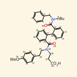 CCCCN(Cc1ccccc1)C(=O)c1ccccc1-c1ccccc1C(=O)N(CCC(=O)O)CCc1ccc(OC)cc1